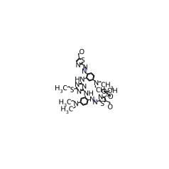 CCSc1nc(Nc2cc(N(CC)CC)ccc2/N=N/c2ncc(C=O)s2)nc(Nc2cc(N(CC)CC)ccc2/N=N/c2nc(S(=O)(=O)O)c(C=O)s2)n1